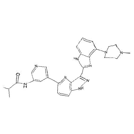 CC(C)C(=O)Nc1cncc(-c2ccc3[nH]nc(-c4nc5c(N6CCN(C)CC6)cccc5[nH]4)c3n2)c1